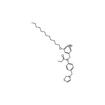 Br.CCCCCCCCCCCCOc1cccc(CN(C(=O)CC)c2ccc(CN3C=CSC3)cc2)c1